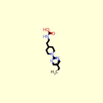 CCc1cnc(N2CCC(CCNC(=O)O)CC2)nc1